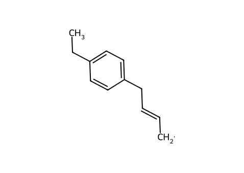 [CH2]C=CCc1ccc(CC)cc1